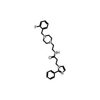 O=C(CCn1ccnc1-c1ccccc1)NCCN1CCN(Cc2ccccc2F)CC1